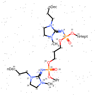 CCCCCCCCCCCCN1CCN(C)/C1=N\P(=O)(OCCCCCCC)OCCCOP(=O)(/N=C1\N(C)CCN1CCCCCCCCCCCC)OC(C)C